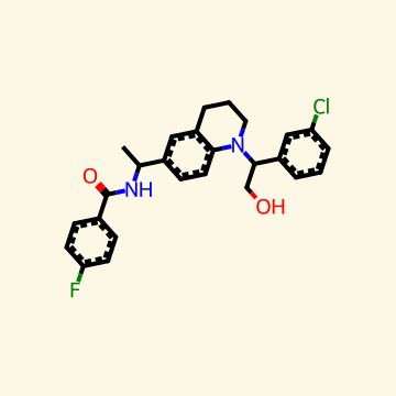 CC(NC(=O)c1ccc(F)cc1)c1ccc2c(c1)CCCN2C(CO)c1cccc(Cl)c1